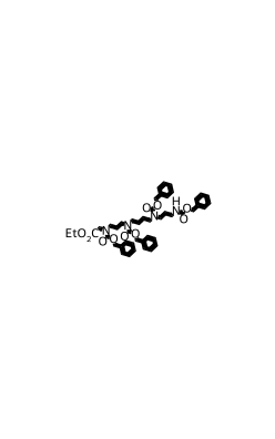 CCOC(=O)CN(CCCN(CCCCN(CCCNC(=O)OCc1ccccc1)C(=O)OCc1ccccc1)C(=O)OCc1ccccc1)C(=O)OCc1ccccc1